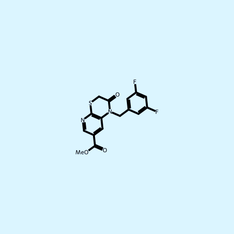 COC(=O)c1cnc2c(c1)N(Cc1cc(F)cc(F)c1)C(=O)CS2